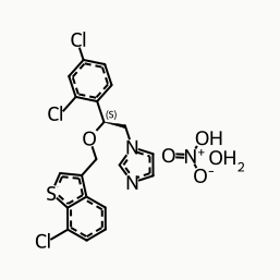 Clc1ccc([C@@H](Cn2ccnc2)OCc2csc3c(Cl)cccc23)c(Cl)c1.O.O=[N+]([O-])O